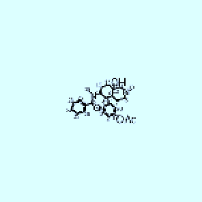 CC(=O)Oc1cccc([C@@]23CCN(C)C[C@@]2(O)CC[C@@H](N(C)C(=O)c2ccccc2)C3)c1